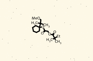 CCC(C)(C)C(=O)OCC(=O)OC1(C(C)(C)COC)CCCCC1